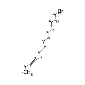 CCC#CCCCCCCCCCCBr